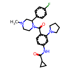 CN1CCN(C(=O)c2ccc(NC(=O)C3CC3)cc2N2CCCC2)C(c2ccc(F)cc2)C1